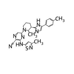 Cc1ccc(-c2cnc([C@@H]3CCCN(c4cnc(C#N)c(Nc5cc(C)ns5)n4)[C@@H]3C)[nH]2)cc1